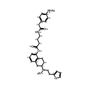 CCCN(CCc1cccs1)C1CCc2c(cccc2OC(=O)CCCNC(=O)Cc2ccc(NC(C)=O)cc2)C1